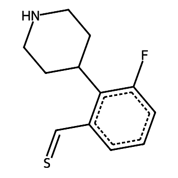 Fc1cccc(C=S)c1C1CCNCC1